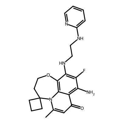 Cc1cc(=O)c2c(N)c(F)c(NCCNc3ccccn3)c3c2n1C1(CCC1)CCO3